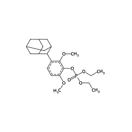 CCOP(=O)(OCC)Oc1c(OC)ccc(C2C3CC4CC(C3)CC2C4)c1OC